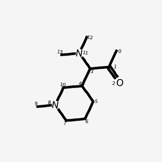 CC(=O)C(C1CCCN(C)C1)N(C)C